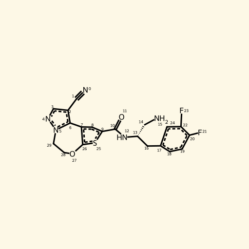 N#Cc1cnn2c1-c1cc(C(=O)N[C@H](CN)Cc3ccc(F)c(F)c3)sc1OCC2